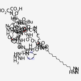 C=C1/C=C\C=C/CN/C=C\1C[C@@H]1NC(=O)[C@H](CCCNC(=N)N)NC(=O)[C@@H](Cc2ccccc2)NC(=O)[C@@H]2C[C@@H](O)CN2C(=O)[C@@H](NC(=O)[C@H](CCCC)NC(=O)[C@H](CNC(=O)CN(CC(=O)O)CC(=O)O)NC(=O)[C@H](Cc2c[nH]cn2)NC(=O)[C@H](CCC(N)=O)NC(=O)[C@H](CO)NC(=O)CNC(=O)COCCOCCNC(=O)CCCCCCCCCCCCCCCc2nnn[nH]2)CCC(=O)NCCCC[C@@H](C(N)=O)NC1=O